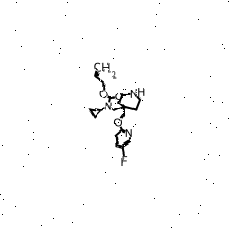 C=CCOC(=O)N(CC1(COc2ccc(F)cn2)CCNCC1)C1CC1